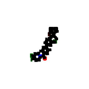 Cc1c(C=O)sc(-c2ccc(-c3ccc(C(=O)N4CCC(F)(F)CC4)cc3)cc2Cl)c1C